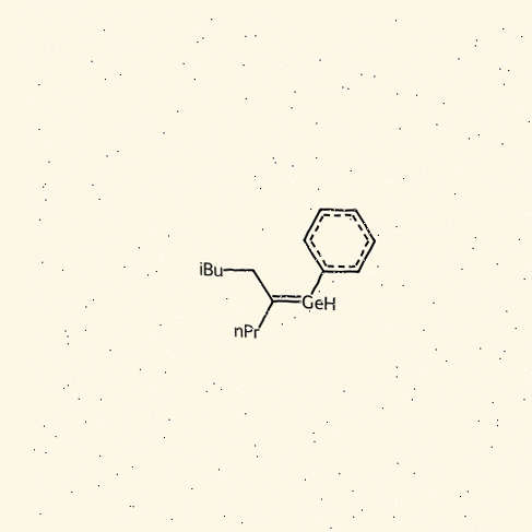 CCC[C](CC(C)CC)=[GeH][c]1ccccc1